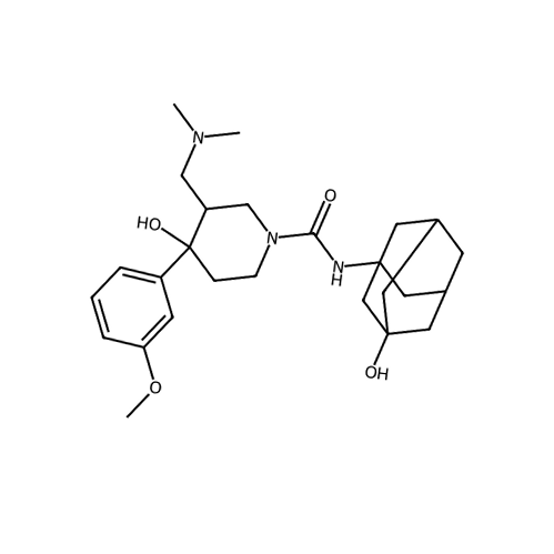 COc1cccc(C2(O)CCN(C(=O)NC34CC5CC(CC(O)(C5)C3)C4)CC2CN(C)C)c1